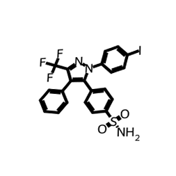 NS(=O)(=O)c1ccc(-c2c(-c3ccccc3)c(C(F)(F)F)nn2-c2ccc(I)cc2)cc1